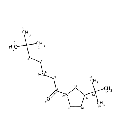 CC(C)(C)CCNCC(=O)N1CCC(C(C)(C)C)C1